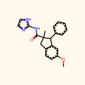 COc1ccc2c(c1)C(c1ccccc1)C(C)(C(=O)Nc1ncc[nH]1)C2